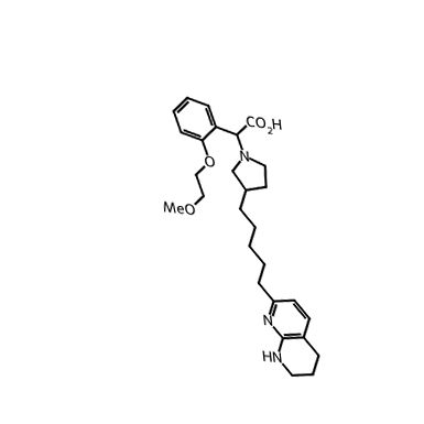 COCCOc1ccccc1C(C(=O)O)N1CCC(CCCCCc2ccc3c(n2)NCCC3)C1